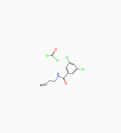 COCCNC(=O)c1cc(Cl)cc(Cl)c1.O=C(Cl)Cl